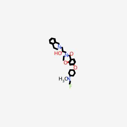 CN(CCF)C1CCC(Oc2ccc3c(c2)OCCN(C[C@H](O)CN2CCc4ccccc4C2)C3=O)CC1